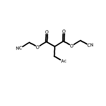 CC(=O)CC(C(=O)OCC#N)C(=O)OCC#N